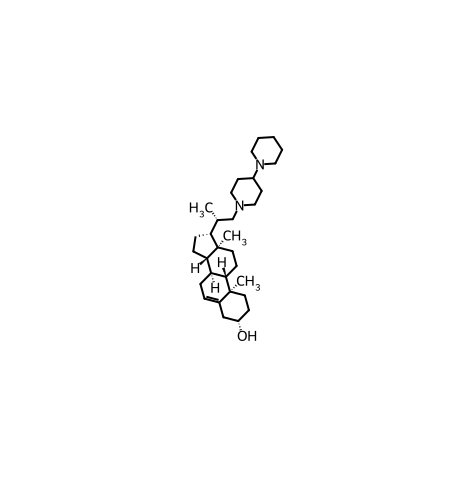 C[C@H](CN1CCC(N2CCCCC2)CC1)[C@H]1CC[C@H]2[C@@H]3CC=C4C[C@@H](O)CC[C@]4(C)[C@H]3CC[C@]12C